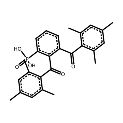 Cc1cc(C)c(C(=O)c2cccc(P(=O)(O)O)c2C(=O)c2c(C)cc(C)cc2C)c(C)c1